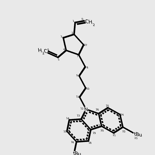 C=CC1CC(C=C)C(CCCCn2c3ccc(C(C)(C)C)cc3c3cc(C(C)(C)C)ccc32)C1